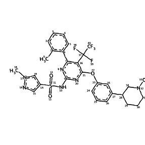 Cc1ccccc1-c1nc(NS(=O)(=O)c2cnn(C)c2)nc(Oc2cccc(C3CCCN(C)C3)c2)c1C(F)(F)C(F)(F)F